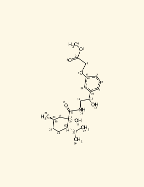 COC(=O)COc1cccc(C(O)CNC(=O)[C@]2(O)C[C@H](C)CC[C@H]2C(C)C)c1